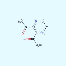 CC(C)COC(=O)c1nccnc1C(=O)OCC(C)C